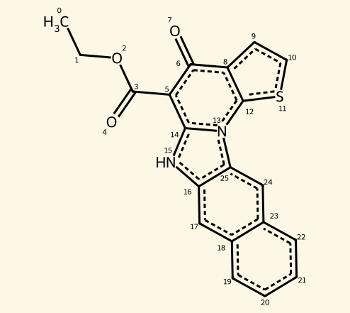 CCOC(=O)c1c(=O)c2ccsc2n2c1[nH]c1cc3ccccc3cc12